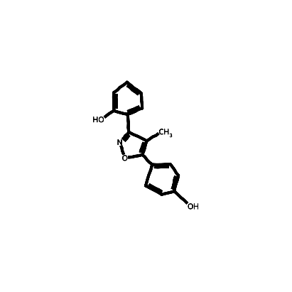 Cc1c(-c2ccccc2O)noc1-c1ccc(O)cc1